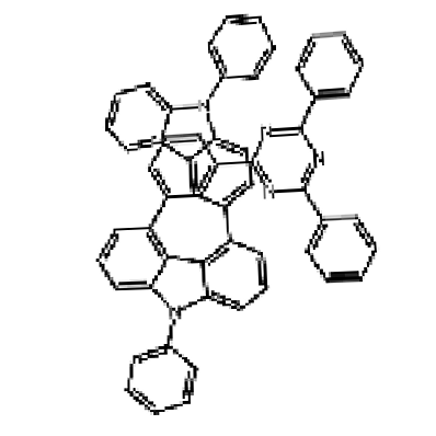 c1ccc(-c2nc(-c3ccccc3)nc(-c3cccc(-c4cccc5c4c4c(-c6ccc7c(c6)c6ccccc6n7-c6ccccc6)cccc4n5-c4ccccc4)c3)n2)cc1